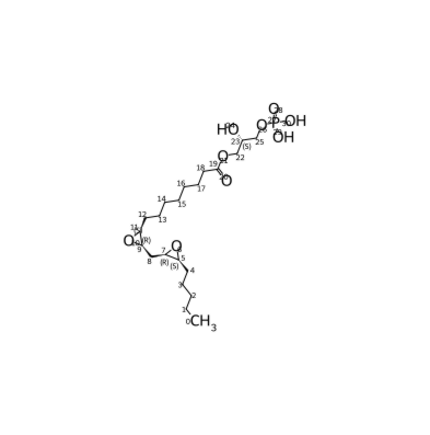 CCCCC[C@@H]1O[C@@H]1C[C@H]1O[C@H]1CCCCCCCC(=O)OC[C@H](O)COP(=O)(O)O